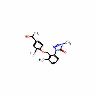 Cc1cc(C(C)O)ccc1OCc1c(C)cccc1-n1nnn(C)c1=O